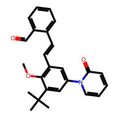 COc1c(/C=C/c2ccccc2C=O)cc(-n2ccccc2=O)cc1C(C)(C)C